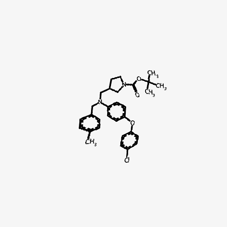 Cc1ccc(CN(CC2CCN(C(=O)OC(C)(C)C)C2)c2ccc(Oc3ccc(Cl)cc3)cc2)cc1